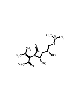 COC(=O)C(=C(C)C)N1C(=O)[C@H]([C@@H](CO[SiH](C)C)C(C)(C)C)[C@H]1OC(C)=O